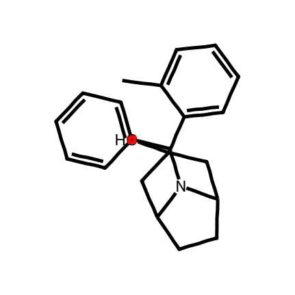 Cc1ccccc1C1(O)CC2CCC(C1)N2Cc1ccccc1